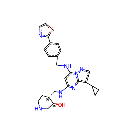 O[C@H]1CNCC[C@@H]1CNc1cc(NCc2ccc(-c3nccs3)cc2)n2ncc(C3CC3)c2n1